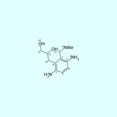 CNCc1c(N)ccc(N)c1CC(O)CO